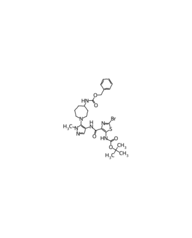 Cn1ncc(NC(=O)c2nc(Br)sc2NC(=O)OC(C)(C)C)c1N1CCCC(NC(=O)OCc2ccccc2)CC1